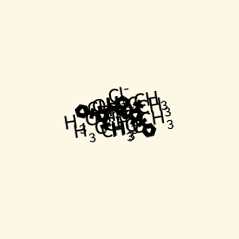 CC(C)(C)c1cc(C=[N+]2[Mn][N+](=Cc3cc(C(C)(C)C)cc(C(C)(C)c4ccccc4)c3O)[C@@H]3CCCC[C@H]32)c(O)c(C(C)(C)c2ccccc2)c1.[Cl-]